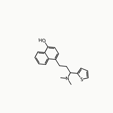 CN(C)C(CCc1ccc(O)c2ccccc12)c1cccs1